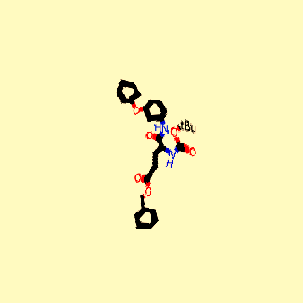 CC(C)(C)OC(=O)NC(CCC(=O)OCc1ccccc1)C(=O)Nc1cccc(Oc2ccccc2)c1